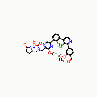 COc1cc(-c2nccc(-c3cccc(-c4cnc(CN(C[C@@H]5CCC(=O)N5)C(=O)O)c(OC)n4)c3Cl)c2Cl)ccc1C=O